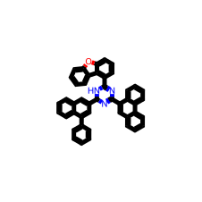 c1ccc(-c2cc(C3N=C(c4cc5ccccc5c5ccccc45)N=C(c4cccc5oc6ccccc6c45)N3)cc3ccccc23)cc1